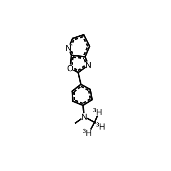 [3H]C([3H])([3H])N(C)c1ccc(-c2nc3cccnc3o2)cc1